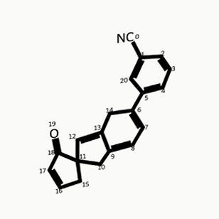 N#Cc1cccc(C2=CC=C3CC4(C=C3C2)CC=CC4=O)c1